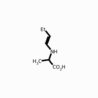 CCC=CNC(C)C(=O)O